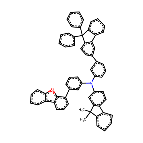 CC1(C)c2ccccc2-c2ccc(N(c3cccc(-c4ccc5c(c4)-c4ccccc4C5(c4ccccc4)c4ccccc4)c3)c3cccc(-c4cccc5c4oc4ccccc45)c3)cc21